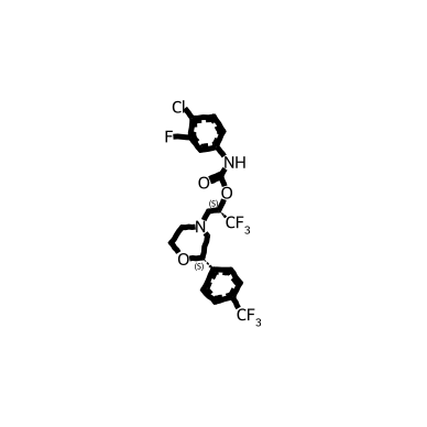 O=C(Nc1ccc(Cl)c(F)c1)O[C@@H](CN1CCO[C@@H](c2ccc(C(F)(F)F)cc2)C1)C(F)(F)F